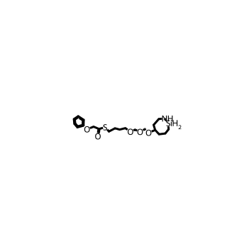 O=C(COc1ccccc1)SCCCCOCOCOC1CCC[SiH2]NCC1